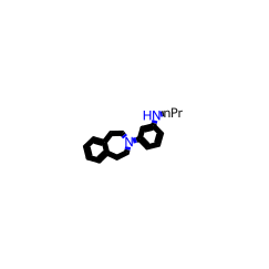 CCCNc1cccc(N2CCc3ccccc3CC2)c1